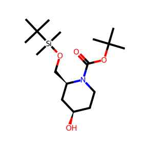 CC(C)(C)OC(=O)N1CC[C@@H](O)C[C@H]1CO[Si](C)(C)C(C)(C)C